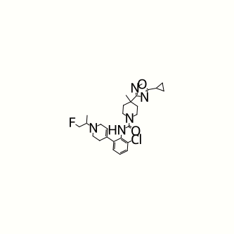 CC(CF)N1CC=C(c2cccc(Cl)c2NC(=O)N2CCC(C)(c3noc(C4CC4)n3)CC2)CC1